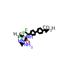 CC(C)(F)C[C@H](N[C@@H](c1ccc(-c2ccc(C3(C(=O)O)CC3)cc2)cc1)C(F)F)C(=O)NC1(N)CC1